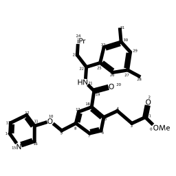 COC(=O)CCc1ccc(COc2cccnc2)cc1C(=O)NC(CC(C)C)c1cc(C)cc(C)c1